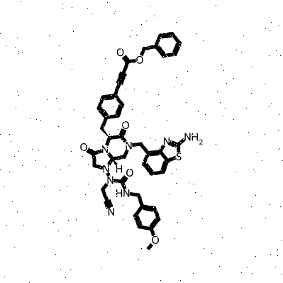 COc1ccc(CNC(=O)N(CC#N)N2CC(=O)N3[C@@H](Cc4ccc(C#CC(=O)OCc5ccccc5)cc4)C(=O)N(Cc4cccc5sc(N)nc45)C[C@@H]32)cc1